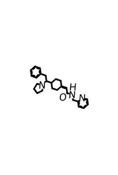 O=C(C=C1CCC(C(Cc2ccccc2)N2CCCC2)CC1)NCc1ccccn1